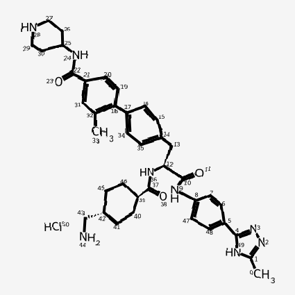 Cc1nnc(-c2ccc(NC(=O)[C@H](Cc3ccc(-c4ccc(C(=O)NC5CCNCC5)cc4C)cc3)NC(=O)[C@H]3CC[C@H](CN)CC3)cc2)[nH]1.Cl